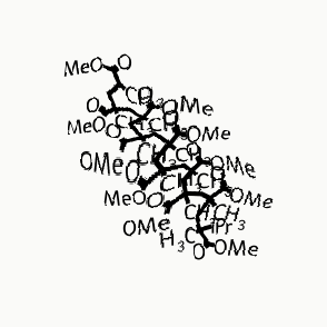 COC(=O)C(C)CC(C)(CC(C)(CC(C)(CC(C)(CC(C)(CC(C)(CC(C)(CC(C)(CC(C)(C(=O)OC)C(C)C)C(=O)OC)C(=O)OC)C(=O)OC)C(=O)OC)C(=O)OC)C(=O)OC)C(=O)OC)C(=O)OC